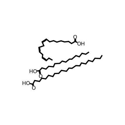 CC/C=C\C/C=C\C/C=C\CCCCCCCC(=O)O.CCCCCCCCCCCCCCCC(=O)O.CCCCCCCCCCCCCCCCCCCCCC(=O)O